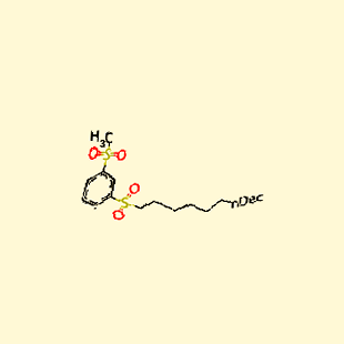 CCCCCCCCCCCCCCCCS(=O)(=O)c1[c]ccc(S(C)(=O)=O)c1